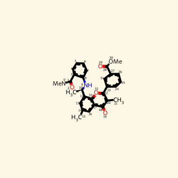 CNC(=O)c1ccccc1N[C@H](C)c1cc(C)cc2c(=O)c(C)c(-c3cccc(C(=O)OC)c3)oc12